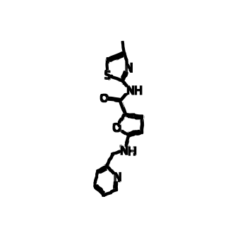 Cc1csc(NC(=O)c2ccc(NCc3ccccn3)o2)n1